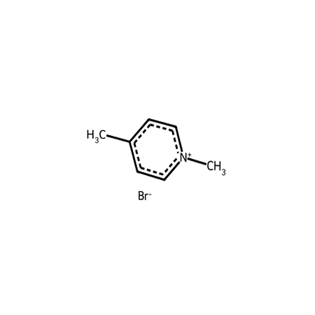 Cc1cc[n+](C)cc1.[Br-]